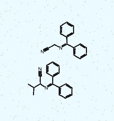 CC(C)C(C#N)N=C(c1ccccc1)c1ccccc1.N#CCN=C(c1ccccc1)c1ccccc1